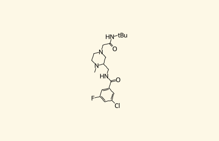 CN1CCN(CC(=O)NC(C)(C)C)CC1CNC(=O)c1cc(F)cc(Cl)c1